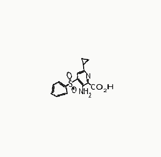 Nc1c(S(=O)(=O)c2ccccc2)cc(C2CC2)nc1C(=O)O